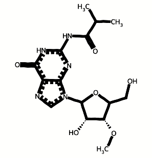 CO[C@H]1C(CO)OC(n2cnc3c(=O)[nH]c(NC(=O)C(C)C)nc32)[C@H]1O